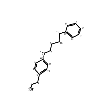 BrCCc1ccc(OCCCCc2ccccc2)cc1